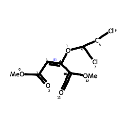 COC(=O)/C=C(/OC(Cl)CCl)C(=O)OC